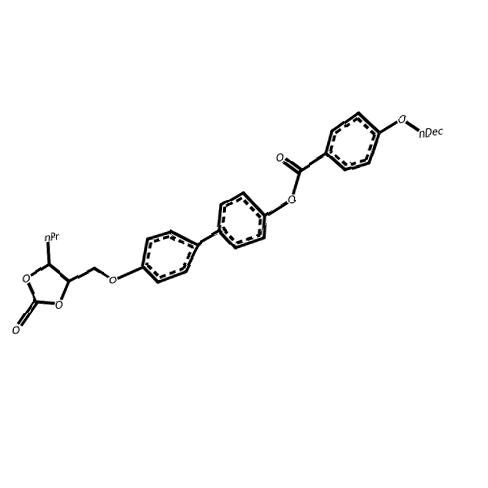 CCCCCCCCCCOc1ccc(C(=O)Oc2ccc(-c3ccc(OCC4OC(=O)OC4CCC)cc3)cc2)cc1